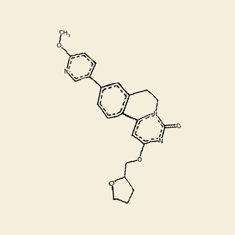 COc1ccc(-c2ccc3c(c2)CCn2c-3cc(OCC3CCCO3)nc2=O)cn1